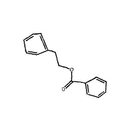 O=C(OCCc1ccccc1)c1cc[c]cc1